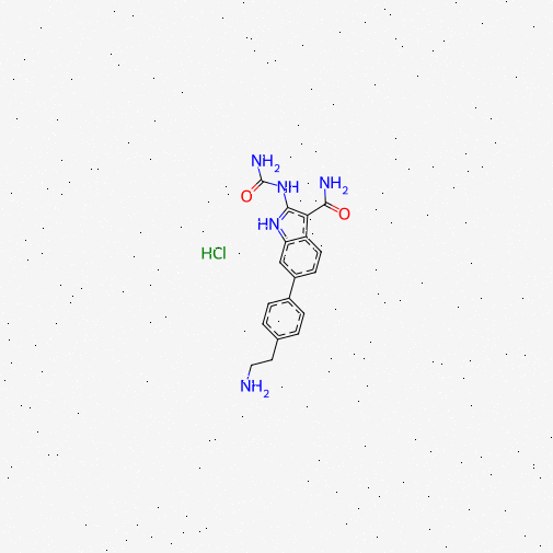 Cl.NCCc1ccc(-c2ccc3c(C(N)=O)c(NC(N)=O)[nH]c3c2)cc1